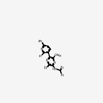 CCc1nc(C(C)C)ccc1-c1nc(CC)c(NC(CC)CC)nc1OC